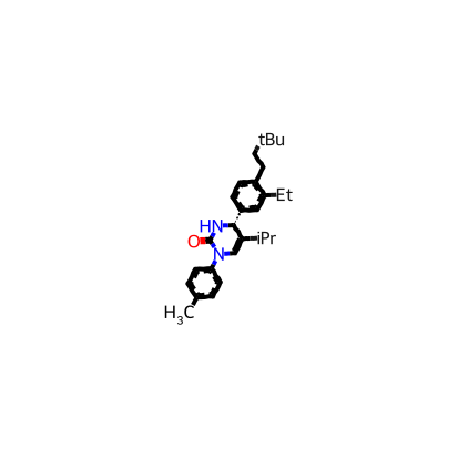 CCc1cc([C@H]2NC(=O)N(c3ccc(C)cc3)C=C2C(C)C)ccc1CCC(C)(C)C